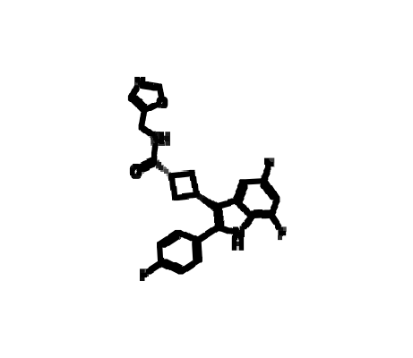 O=C(NCc1cnco1)[C@H]1C[C@H](c2c(-c3ccc(F)cc3)[nH]c3c(F)cc(F)cc32)C1